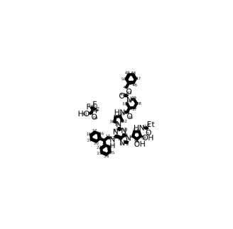 CCC(=O)N[C@H]1C[C@@H](n2cnc3c(NCC(c4ccccc4)c4ccccc4)nc(N4CC[C@@H](NC(=O)C5CCCN(C(=O)OCc6ccccc6)C5)C4)nc32)[C@H](O)[C@@H]1O.O=C(O)C(F)(F)F